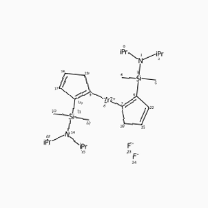 CC(C)N(C(C)C)[Si](C)(C)C1=[C]([Zr+2][C]2=C([Si](C)(C)N(C(C)C)C(C)C)C=CC2)CC=C1.[F-].[F-]